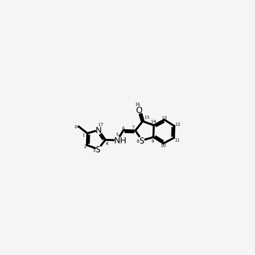 Cc1csc(NC=C2Sc3ccccc3C2=O)n1